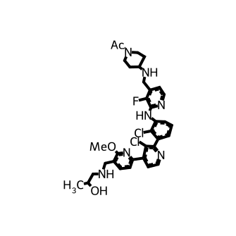 COc1nc(-c2ccnc(-c3cccc(Nc4nccc(CNC5CCN(C(C)=O)CC5)c4F)c3Cl)c2Cl)ccc1CNCC(C)O